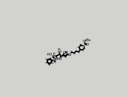 CC(C)(C)OC(=O)N1CCC(CCCCOc2cc(C(=O)C(N)C(NS(=O)(=O)c3ccccc3)C(=O)O)on2)CC1